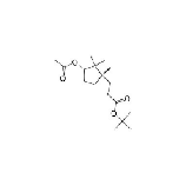 CC(=O)O[C@H]1CC[C@@](C)(CCC(=O)OC(C)(C)C)C1(C)C